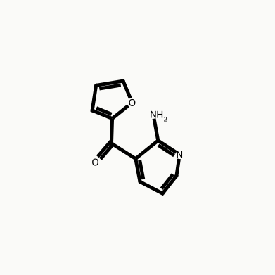 Nc1ncccc1C(=O)c1ccco1